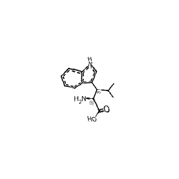 CC(C)[C@H](c1c[nH]c2ccccc12)[C@H](N)C(=O)O